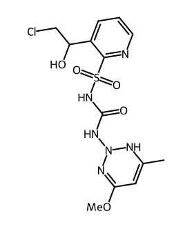 COC1=NN(NC(=O)NS(=O)(=O)c2ncccc2C(O)CCl)NC(C)=C1